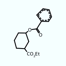 CCOC(=O)C1CCCC(OC(=O)c2ccccc2)C1